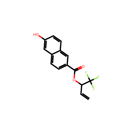 C=CC(OC(=O)c1ccc2cc(O)ccc2c1)C(F)(F)F